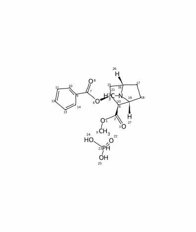 COC(=O)[C@H]1[C@@H](OC(=O)c2ccccc2)C[C@@H]2CC[C@H]1N2C.O=[PH](O)O